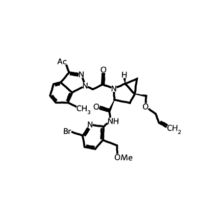 C=CCOC[C@@]12C[C@@H](C(=O)Nc3nc(Br)ccc3COC)N(C(=O)Cn3nc(C(C)=O)c4cccc(C)c43)[C@@H]1C2